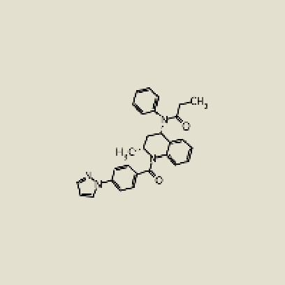 CCC(=O)N(c1ccccc1)[C@H]1C[C@@H](C)N(C(=O)c2ccc(-n3cccn3)cc2)c2ccccc21